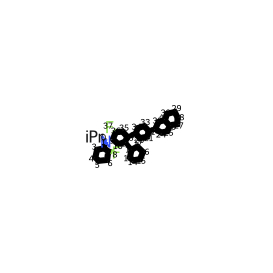 CC(C)N(c1ccccc1F)c1cc(-c2ccccc2)c(-c2ccc(-c3ccc4ccccc4c3)cc2)cc1F